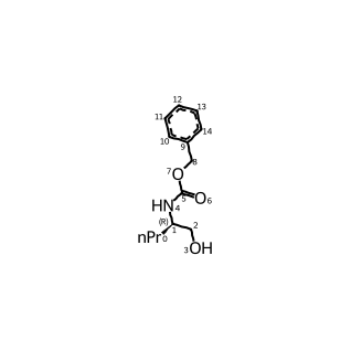 CCC[C@H](CO)NC(=O)OCc1ccccc1